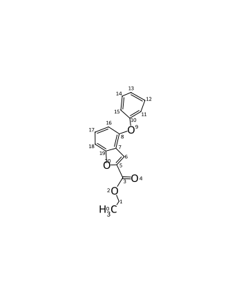 CCOC(=O)c1cc2c(Oc3ccccc3)cccc2o1